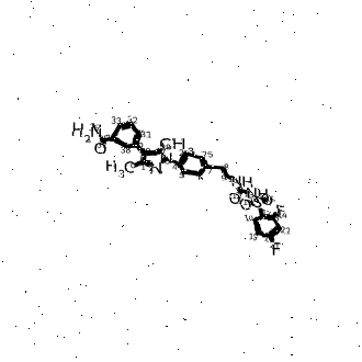 Cc1nn(-c2ccc(CCNC(=O)NS(=O)(=O)c3ccc(F)cc3F)cc2)c(C)c1-c1cccc(C(N)=O)c1